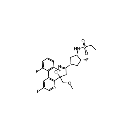 CCS(=O)(=O)N[C@@H]1CN(C2=NOC(COC)(c3ncc(F)cc3-c3c(F)cccc3F)C2)C[C@@H]1F